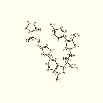 CCn1cc(C(NNc2nc(-c3ccc(F)cc3)c(C#N)s2)C(F)(F)F)c2cc(-c3nc(COC(=O)[C@@H]4CCCN4)cs3)ccc21